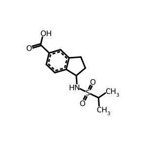 CC(C)S(=O)(=O)NC1CCc2cc(C(=O)O)ccc21